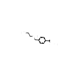 CC(C)COC(=O)c1ccc(CNCCN)cc1